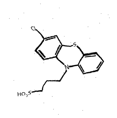 O=S(=O)(O)CCCN1c2ccccc2Sc2cc(Cl)ccc21